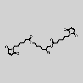 CCC(CCCCOC(=O)CCCCCN1C(=O)C=CC1=O)COC(=O)CCCCCN1C(=O)C=CC1=O